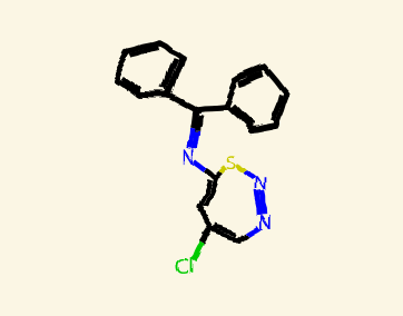 ClC1=CN=NSC(N=C(c2ccccc2)c2ccccc2)=C1